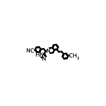 Cc1cccc(CCc2cccc3c2CCN(C(Cc2ccc(C#N)cc2)c2cnc[nH]2)C3)c1